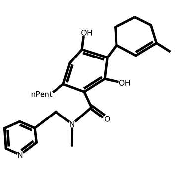 CCCCCc1cc(O)c(C2C=C(C)CCC2)c(O)c1C(=O)N(C)Cc1cccnc1